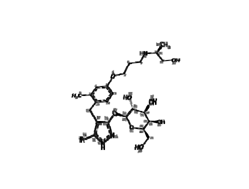 Cc1cc(OCCCN[C@@H](C)CO)ccc1Cc1c(O[C@@H]2O[C@H](CO)[C@H](O)[C@H](O)[C@H]2O)n[nH]c1C(C)C